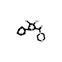 O=C(c1sc(-c2ccccc2)c(Cl)c1O)N1CCOCC1